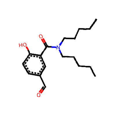 CCCCCN(CCCCC)C(=O)c1cc(C=O)ccc1O